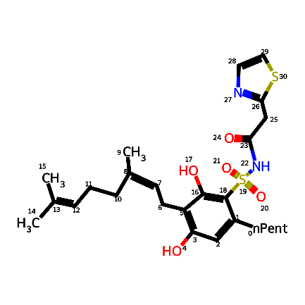 CCCCCc1cc(O)c(CC=C(C)CCC=C(C)C)c(O)c1S(=O)(=O)NC(=O)Cc1nccs1